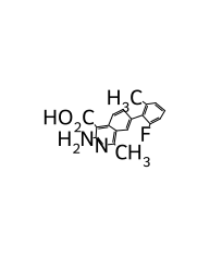 Cc1cccc(F)c1-c1ccc2c(C(=O)O)c(N)nc(C)c2c1